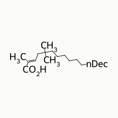 CCCCCCCCCCCCCCCCC(C)(C)CC=C(C)C(=O)O